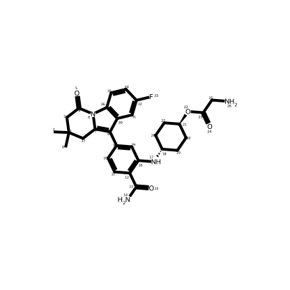 CC1(C)CC(=O)n2c(c(-c3ccc(C(N)=O)c(N[C@H]4CC[C@H](OC(=O)CN)CC4)c3)c3cc(F)ccc32)C1